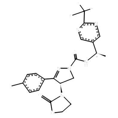 Cc1ccc(C2=NN(C(=O)N[C@H](C)c3cnc(C(F)(F)F)nc3)C[C@H]2N2CCOC2=O)cc1